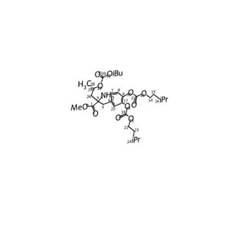 COC(=O)C(N)(Cc1ccc(OC(=O)OCCC(C)C)c(OC(=O)OCCC(C)C)c1)C[C@H](C)OC(=O)OCC(C)C